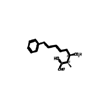 C[C@@H]([C@@H](CCCCCc1ccccc1)C(=O)O)N(O)C=O